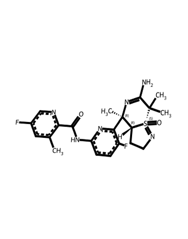 Cc1cc(F)cnc1C(=O)Nc1ccc(F)c([C@@]2(C)N=C(N)C(C)(C)[S@]3(=O)=NCC[C@H]23)n1